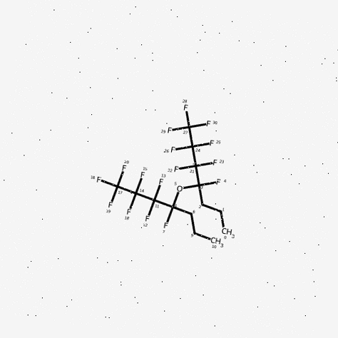 CCCC(F)(OC(F)(CCC)C(F)(F)C(F)(F)C(F)(F)F)C(F)(F)C(F)(F)C(F)(F)F